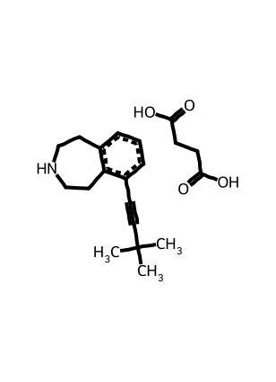 CC(C)(C)C#Cc1cccc2c1CCNCC2.O=C(O)CCC(=O)O